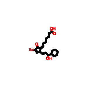 O=C(O)CCCCCC=C1C(=O)C(Br)=CC1C=CC(O)C1CCCCC1